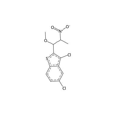 COC(c1sc2ccc(Cl)cc2c1Cl)C(C)[N+](=O)[O-]